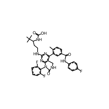 Cc1ccc(C(=O)Nc2ccc(F)cc2)cc1-c1nc(NCCC(NC(=O)O)C(C)(C)C)nc2c1CNC(=O)N2c1c(F)cccc1F